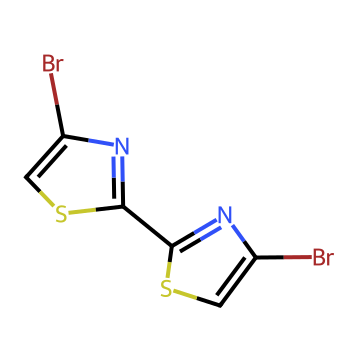 Brc1csc(-c2nc(Br)cs2)n1